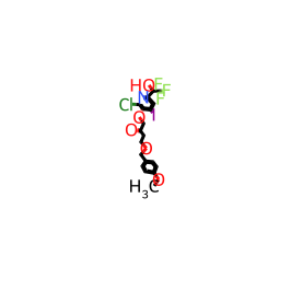 COc1ccc(COCCC(=O)COc2c(I)cc(C(O)C(F)(F)F)nc2Cl)cc1